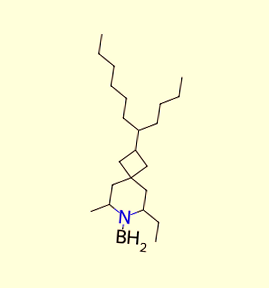 BN1C(C)CC2(CC(C(CCCC)CCCCCC)C2)CC1CC